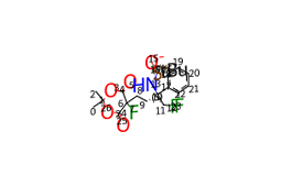 CC1(C)OC(=O)C(F)(CC[C@](CF)(N[S@+]([O-])C(C)(C)C)c2ccccc2F)C(=O)O1